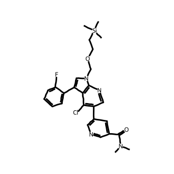 CN(C)C(=O)c1cncc(-c2cnc3c(c(-c4ccccc4F)cn3COCC[Si](C)(C)C)c2Cl)c1